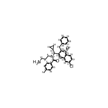 Cc1ccc(C(=O)N(CCCN)C(c2nc3cc(Cl)ccc3[n+]([O-])c2Cc2ccccc2)C2CC2)cc1